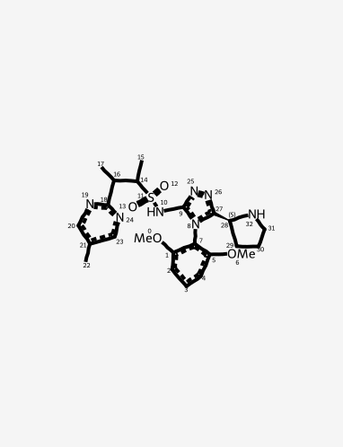 COc1cccc(OC)c1-n1c(NS(=O)(=O)C(C)C(C)c2ncc(C)cn2)nnc1[C@@H]1CCCN1